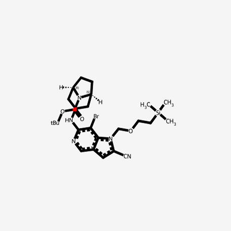 CC(C)(C)OC(=O)N1[C@@H]2CC[C@H]1CC(Nc1ncc3cc(C#N)n(COCC[Si](C)(C)C)c3c1Br)C2